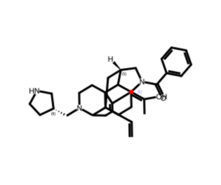 C=CC1=C(/C=C(\C)O)C23CCN(C[C@@H]4CCNC4)C(C1)C21CCC2C3[C@@H](CN2C(=O)c2ccccc2)C1